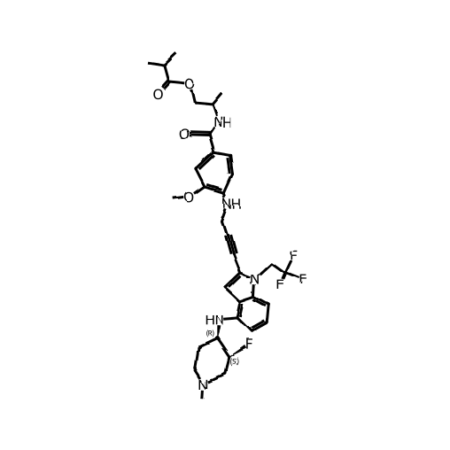 COc1cc(C(=O)NC(C)COC(=O)C(C)C)ccc1NCC#Cc1cc2c(N[C@@H]3CCN(C)C[C@@H]3F)cccc2n1CC(F)(F)F